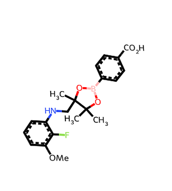 COc1cccc(NCC2(C)OB(c3ccc(C(=O)O)cc3)OC2(C)C)c1F